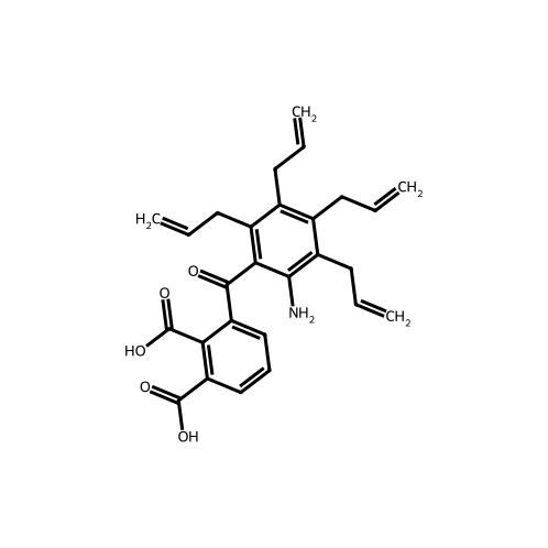 C=CCc1c(N)c(C(=O)c2cccc(C(=O)O)c2C(=O)O)c(CC=C)c(CC=C)c1CC=C